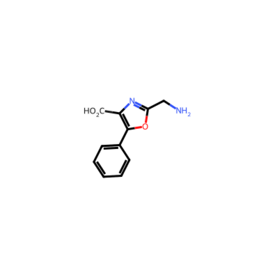 NCc1nc(C(=O)O)c(-c2ccccc2)o1